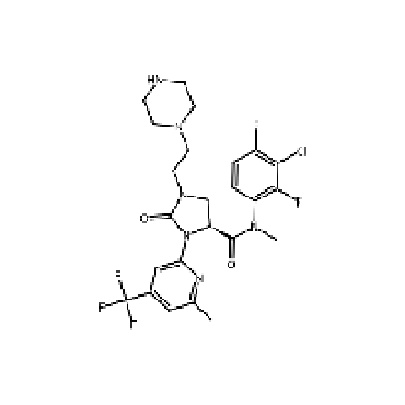 Cc1cc(C(F)(F)F)cc(N2C(=O)N(CCN3CCNCC3)C[C@H]2C(=O)N(C)c2ccc(F)c(Cl)c2F)n1